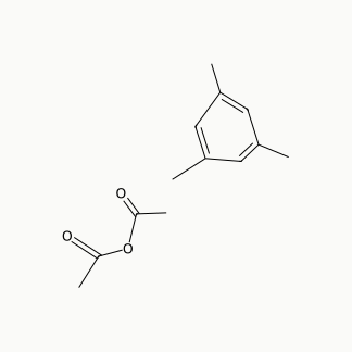 CC(=O)OC(C)=O.Cc1cc(C)cc(C)c1